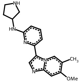 COc1cc2ncc(-c3cccc(NC4CCNC4)n3)n2cc1C